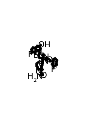 CCc1c(F)ccc2cc(O)cc(N3CCc4c(nc(OC[C@@]56CCCN5C[C@H](F)C6)nc4N4CCCn5nc(C(N)=O)cc5C4)C3)c12